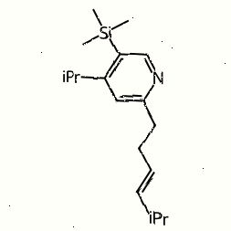 CC(C)/C=C/CCc1cc(C(C)C)c([Si](C)(C)C)cn1